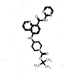 CC(C)(C)OC(=O)N1CCC(Nc2ccc(C(=O)Nc3ncccn3)c3ncccc23)CC1